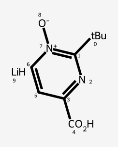 CC(C)(C)c1nc(C(=O)O)cc[n+]1[O-].[LiH]